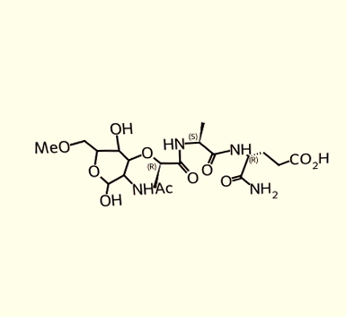 COCC1OC(O)C(NC(C)=O)C(O[C@H](C)C(=O)N[C@@H](C)C(=O)N[C@H](CCC(=O)O)C(N)=O)C1O